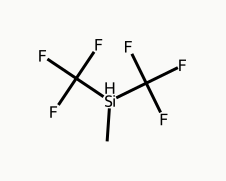 C[SiH](C(F)(F)F)C(F)(F)F